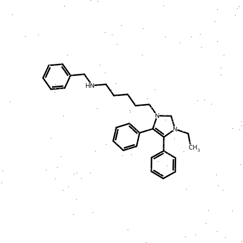 CCN1CN(CCCCCNCc2ccccc2)C(c2ccccc2)=C1c1ccccc1